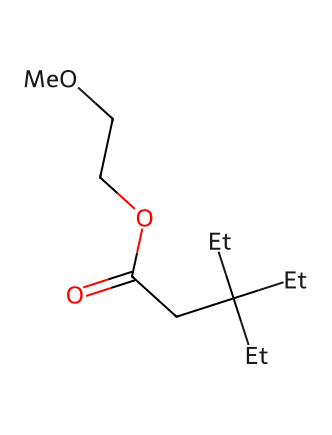 CCC(CC)(CC)CC(=O)OCCOC